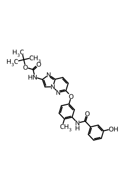 Cc1ccc(Oc2ccc3nc(NC(=O)OC(C)(C)C)cn3n2)cc1NC(=O)c1cccc(O)c1